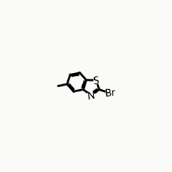 Cc1ccc2sc(Br)nc2c1